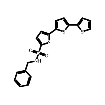 O=S(=O)(NCc1ccccc1)c1ccc(-c2ccc(-c3cccs3)s2)s1